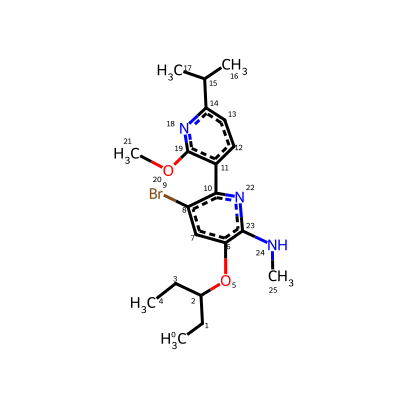 CCC(CC)Oc1cc(Br)c(-c2ccc(C(C)C)nc2OC)nc1NC